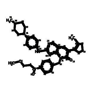 COCC[S+]([O-])c1ccc(Cn2c(=O)c(C3=C(C)CCC3)cc3cnc(Nc4ccc(N5CCN(C)CC5)cc4)nc32)cc1